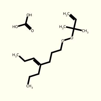 C=CC(C)(C)OOCCCC(=CCC)CCC.O=C(O)O